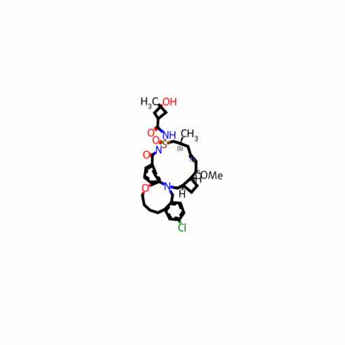 CO[C@H]1/C=C/C[C@H](C)CS(=O)(NC(=O)C2CC(C)(O)C2)=NC(=O)c2ccc3c(c2)N(Cc2ccc(Cl)cc2CCCCO3)C[C@@H]2CC[C@H]21